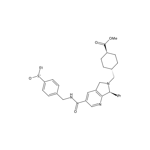 CC[S+]([O-])c1ccc(CNC(=O)c2cnc3c(c2)CN(C[C@H]2CC[C@H](C(=O)OC)CC2)[C@H]3C(C)C)cc1